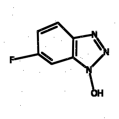 On1nnc2ccc(F)cc21